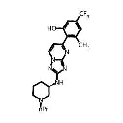 CCCN1CCC[C@@H](Nc2nc3nc(-c4c(C)cc(C(F)(F)F)cc4O)ccn3n2)C1